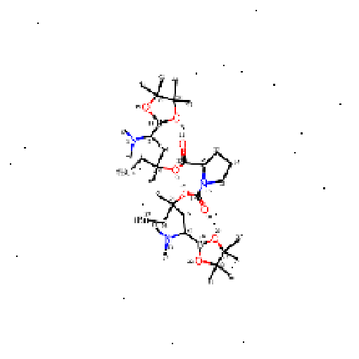 CN(C)C(CC(C)(CC(C)(C)C)OC(=O)C1CCCN1C(=O)OC(C)(CC(B1OC(C)(C)C(C)(C)O1)N(C)C)CC(C)(C)C)B1OC(C)(C)C(C)(C)O1